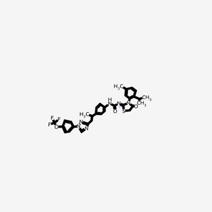 Cc1ccc(C(C)C)c(N2C(=O)CS/C2=N\C(=O)Nc2ccc(C(C)Cc3ncn(-c4ccc(OC(F)(F)F)cc4)n3)cc2)c1